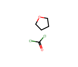 C1CCOC1.O=C(Cl)Cl